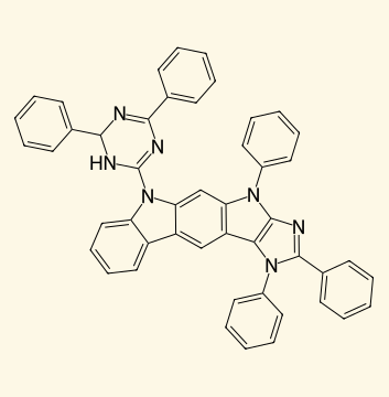 c1ccc(C2=NC(c3ccccc3)NC(n3c4ccccc4c4cc5c6c(nc(-c7ccccc7)n6-c6ccccc6)n(-c6ccccc6)c5cc43)=N2)cc1